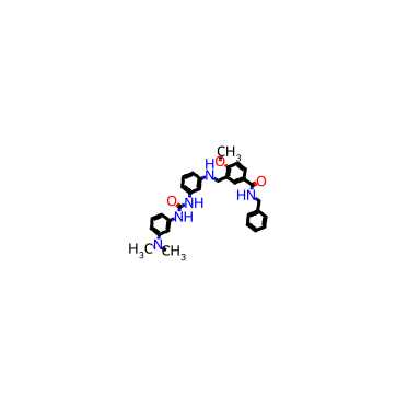 COc1ccc(C(=O)NCc2ccccc2)cc1CNc1cccc(NC(=O)Nc2cccc(N(C)C)c2)c1